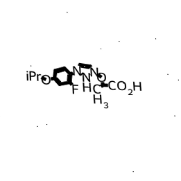 CC(C)Oc1ccc(N2C=CN(OC(C)C(=O)O)N2)c(F)c1